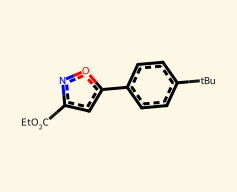 CCOC(=O)c1cc(-c2ccc(C(C)(C)C)cc2)on1